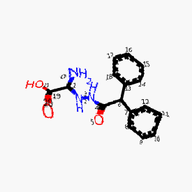 NC(NNC(=O)C(c1ccccc1)c1ccccc1)C(=O)O